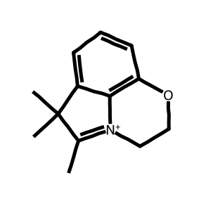 CC1=[N+]2CCOc3cccc(c32)C1(C)C